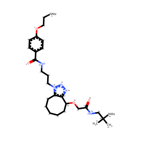 CNCCOc1ccc(C(=O)NCCCn2nnc3c2CCCCCC3OCC(=O)NCC(C)(C)NC)cc1